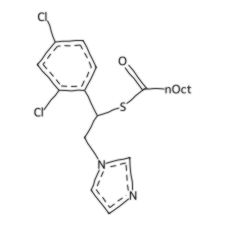 CCCCCCCCC(=O)SC(Cn1ccnc1)c1ccc(Cl)cc1Cl